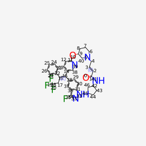 O=C(/C=C/CN1CCCC(Oc2ccc(/C(=C(/CC(F)(F)F)c3ccccc3)c3ccc4[nH]nc(F)c4c3)cn2)C1)NC1CCCC1